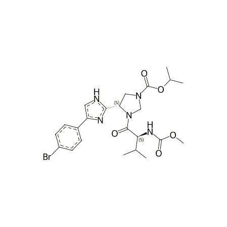 COC(=O)N[C@H](C(=O)N1CN(C(=O)OC(C)C)C[C@H]1c1nc(-c2ccc(Br)cc2)c[nH]1)C(C)C